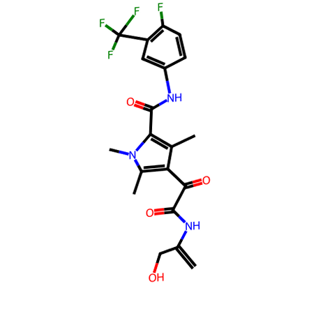 C=C(CO)NC(=O)C(=O)c1c(C)c(C(=O)Nc2ccc(F)c(C(F)(F)F)c2)n(C)c1C